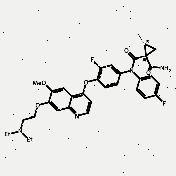 CCN(CC)CCOc1cc2nccc(Oc3ccc(N(C(=O)[C@]4(C(N)=O)C[C@H]4C)c4ccc(F)cc4)cc3F)c2cc1OC